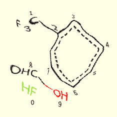 F.FC(F)(F)c1ccccc1.O=CO